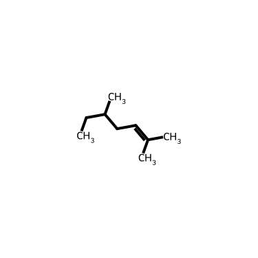 CCC(C)CC=C(C)C